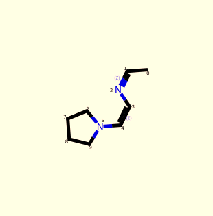 C/C=N\C=C/N1CCCC1